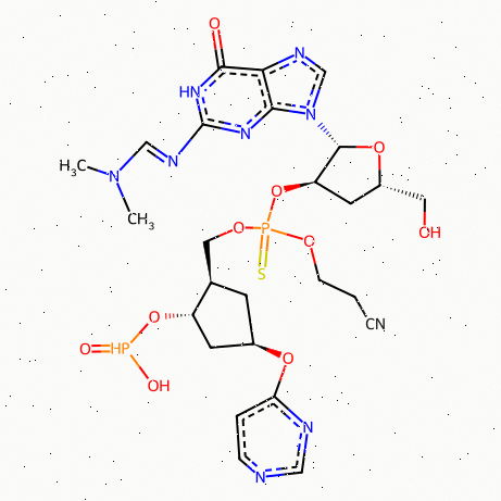 CN(C)/C=N/c1nc2c(ncn2[C@@H]2O[C@H](CO)C[C@H]2OP(=S)(OCCC#N)OC[C@H]2C[C@@H](Oc3ccncn3)C[C@@H]2O[PH](=O)O)c(=O)[nH]1